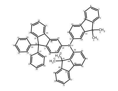 CC1(C)c2ccccc2-c2ccc(N(c3ccc4c(c3)-c3ccccc3C4(c3ccccc3)c3ccccc3)c3cccc4c3C(C)(C)c3ccccc3-4)cc21